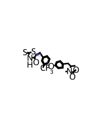 CN1C(=O)OCC1Cc1ccc(Oc2ccc(/C=C3/SC(=S)NC3=O)cc2C(F)(F)F)cc1